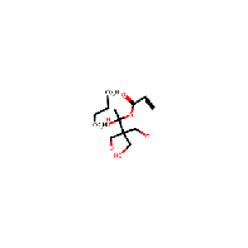 C=CC(=O)OC(C)(O)C(CO)(CO)CO.O=C(O)CCC(=O)O